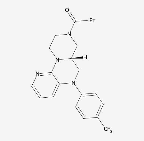 CC(C)C(=O)N1CCN2c3ncccc3N(c3ccc(C(F)(F)F)cc3)C[C@H]2C1